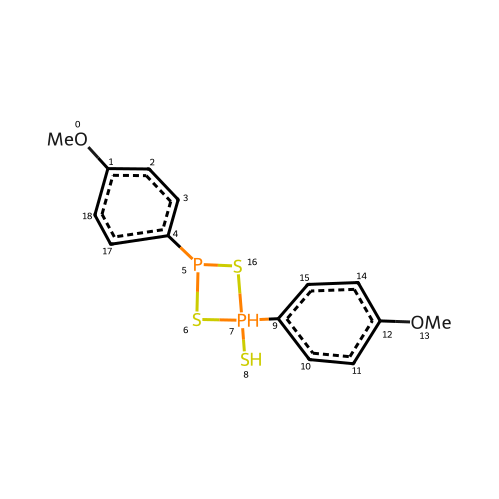 COc1ccc(P2S[PH](S)(c3ccc(OC)cc3)S2)cc1